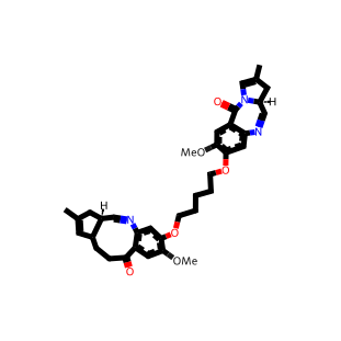 COc1cc2c(cc1OCCCCCOc1cc3c(cc1OC)C(=O)CCC1C=C(C)C[C@H]1/C=N\3)N=C[C@@H]1CC(C)=CN1C2=O